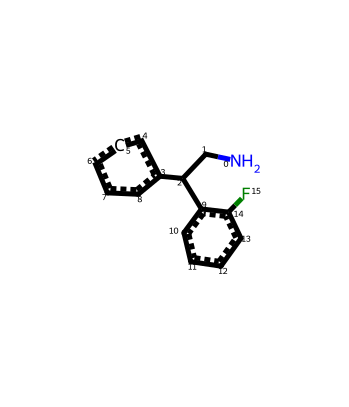 NCC(c1ccccc1)c1ccccc1F